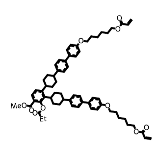 C=CC(=O)OCCCCCCOc1ccc(-c2ccc(C3CCC(c4ccc(C(=O)OC)c(OC(=O)CC)c4C4CCC(c5ccc(-c6ccc(OCCCCCCOC(=O)C=C)cc6)cc5)CC4)CC3)cc2)cc1